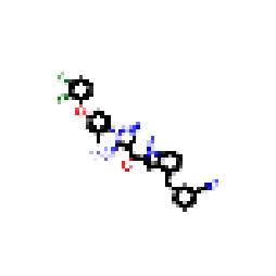 Cc1cc(Oc2cccc(F)c2F)ccc1N1NCC(C(=O)c2cc3c(Cc4cccc(C#N)c4)cccc3[nH]2)=C1N